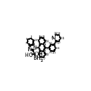 BC(O)(O)c1nc2ccccc2n1-c1c2ccccc2c(-c2cccc(-c3ccccn3)c2)c2ccccc12